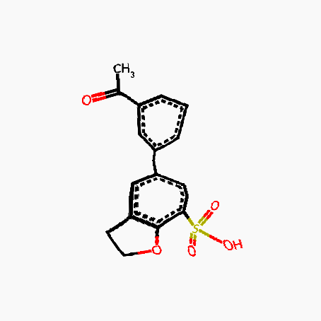 CC(=O)c1cccc(-c2cc3c(c(S(=O)(=O)O)c2)OCC3)c1